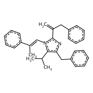 C=C(Cc1ccccc1)c1nc(Cc2ccccc2)c(C(C)C)n1/C=C(\C)c1ccccc1